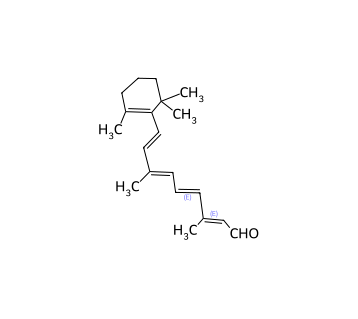 CC(C=CC1=C(C)CCCC1(C)C)=C/C=C/C(C)=C/C=O